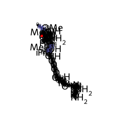 C=C/C=C/C=C(\C)[C@H](C[C@@H]1CC[C@@H](C)[C@](O)(C(=O)C(=O)N2CCCC[C@H]2C(=O)O[C@@H](C[C@@H](O)[C@H](C)/C=C(\C)[C@@H](O)[C@@H](OC)/C(=N/OCC(=O)NCCOCCOCCOCCOCCC(=O)N2CCN(c3ncc(C(=O)NCCCCn4nc(-c5ccc6oc(N)nc6c5)c5c(N)ncnc54)cn3)CC2)[C@H](C)CC(C)C)[C@H](N)C[C@@H]2CC[C@@H](O)[C@H](OC)C2)O1)OC